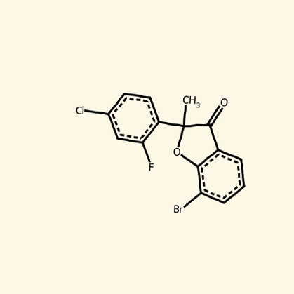 CC1(c2ccc(Cl)cc2F)Oc2c(Br)cccc2C1=O